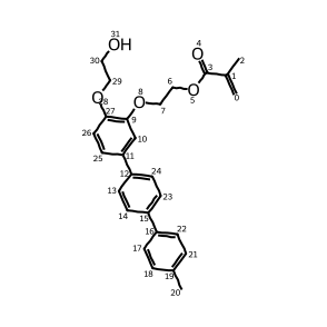 C=C(C)C(=O)OCCOc1cc(-c2ccc(-c3ccc(C)cc3)cc2)ccc1OCCO